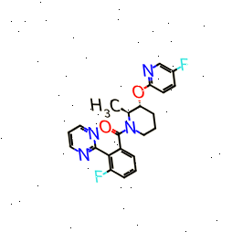 C[C@H]1[C@H](Oc2ccc(F)cn2)CCCN1C(=O)c1cccc(F)c1-c1ncccn1